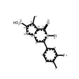 CCn1c(-c2ccc(C)c(F)c2)cn2nc(C(=O)O)c(C)c2c1=O